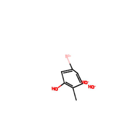 [B+2]c1ccc(C)c(O)c1.[OH-].[OH-]